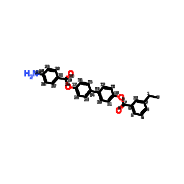 CCc1cccc(C(=O)Oc2ccc(-c3ccc(OC(=O)c4ccc(N)cc4)cc3)cc2)c1